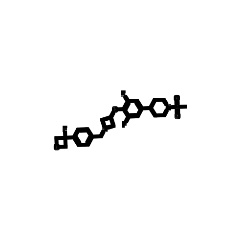 CS(=O)(=O)N1CCC(c2cc(F)c(OC3CN(Cc4ccc(C5(F)COC5)cc4)C3)c(F)c2)CC1